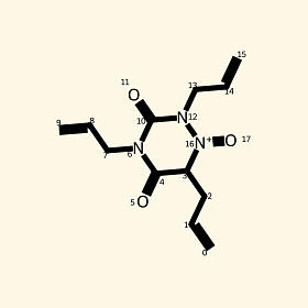 C=CCC1C(=O)N(CC=C)C(=O)N(CC=C)[N+]1=O